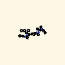 c1ccc(-c2ccc(-c3nc(-n4c5ccc(-c6ccc7c(ccc8cc(-c9nc(-n%10c%11ccccc%11c%11c%12c%13ccccc%13n%13c%14ccc(-c%15ccccc%15)cc%14c(cc%11%10)c%12%13)nc%10ccccc9%10)ccc87)c6)cc5c5c6c7ccccc7n7c8ccc(-c9ccccc9)cc8c(cc54)c67)c4ccccc4n3)cc2)cc1